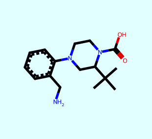 CC(C)(C)C1CN(c2ccccc2CN)CCN1C(=O)O